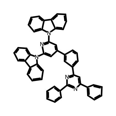 c1ccc(-c2cc(-c3cccc(-c4cc(-n5c6ccccc6c6ccccc65)nc(-n5c6ccccc6c6ccccc65)c4)c3)nc(-c3ccccc3)n2)cc1